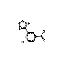 Cl.O=C(Cl)c1ccnc(-c2ncc[nH]2)c1